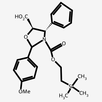 COc1ccc(C2O[C@@H](C(=O)O)[C@H](c3ccccc3)N2C(=O)OCC[Si](C)(C)C)cc1